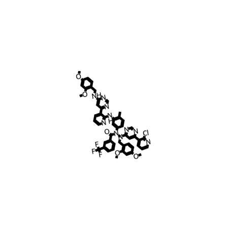 COc1ccc(CNc2cc(-c3cccnc3Nc3cc(N(C(=O)c4cccc(C(F)(F)F)c4)N(Cc4ccc(OC)cc4OC)c4cc(-c5cccnc5Cl)ncn4)ccc3C)ncn2)c(OC)c1